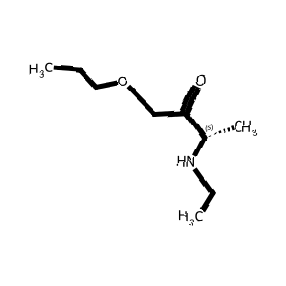 CCCOCC(=O)[C@H](C)NCC